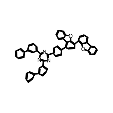 c1ccc(-c2cccc(-c3nc(-c4ccc(-c5ccc(-c6cccc7c6oc6ccccc67)c6oc7ccccc7c56)cc4)nc(-c4cccc(-c5ccccc5)c4)n3)c2)cc1